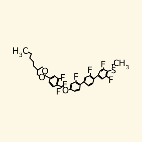 CCCCCC1COC(c2ccc(C(F)(F)Oc3ccc(-c4ccc(-c5cc(F)c(SCC)c(F)c5)c(F)c4)c(F)c3)c(F)c2)OC1